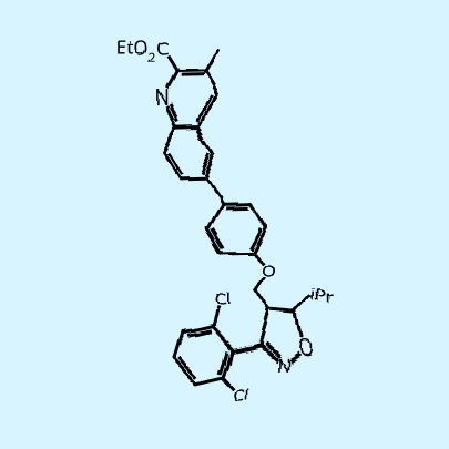 CCOC(=O)c1nc2ccc(-c3ccc(OCC4C(c5c(Cl)cccc5Cl)=NOC4C(C)C)cc3)cc2cc1C